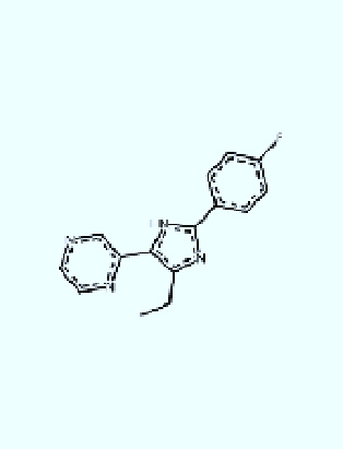 CCc1nc(-c2ccc(F)cc2)[nH]c1-c1cnccn1